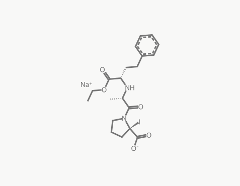 CCOC(=O)[C@H](CCc1ccccc1)N[C@@H](C)C(=O)N1CCC[C@@]1(I)C(=O)[O-].[Na+]